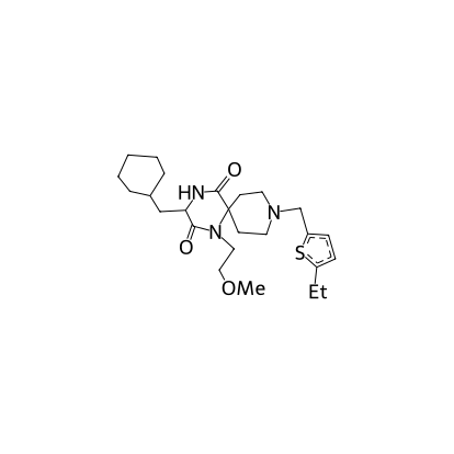 CCc1ccc(CN2CCC3(CC2)C(=O)NC(CC2CCCCC2)C(=O)N3CCOC)s1